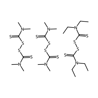 CCN(CC)C(=S)SSC(=S)N(CC)CC.CN(C)C(=S)SSC(=S)N(C)C.CN(C)C(=S)SSC(=S)N(C)C